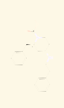 CC(C)(C)OC(=O)N1CC[C@H](NCCc2ccccc2)C[C@H]1Cc1ccccc1